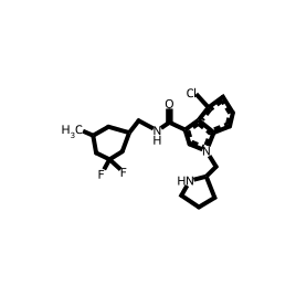 CC1CC(CNC(=O)c2cn(CC3CCCN3)c3cccc(Cl)c23)CC(F)(F)C1